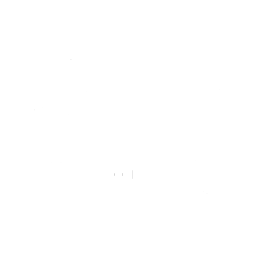 Oc1c(Cl)cc(-c2cc(Cl)cc(Cl)c2)c(O)c1Cl